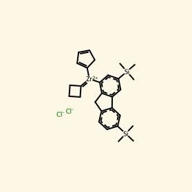 C[Si](C)(C)c1ccc2c(c1)-c1cc([Si](C)(C)C)c[c]([Zr+2]([C]3=CC=CC3)=[C]3CCC3)c1C2.[Cl-].[Cl-]